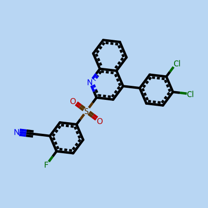 N#Cc1cc(S(=O)(=O)c2cc(-c3ccc(Cl)c(Cl)c3)c3ccccc3n2)ccc1F